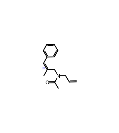 C=CCN(C/C(C)=C\c1ccccc1)C(C)=O